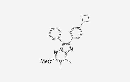 COc1nn2c(-c3ccccc3)c(-c3ccc(C4CCC4)cc3)nc2c(C)c1C